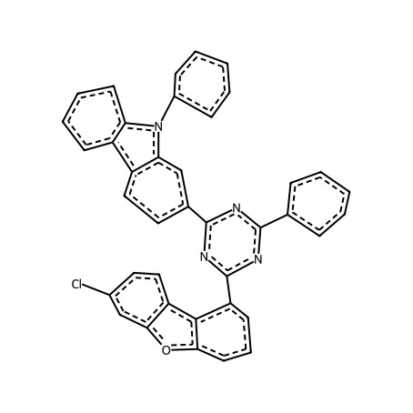 Clc1ccc2c(c1)oc1cccc(-c3nc(-c4ccccc4)nc(-c4ccc5c6ccccc6n(-c6ccccc6)c5c4)n3)c12